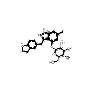 Cc1cc(O[C@@H]2O[C@H](CO)[C@@H](O)[C@H](O)[C@H]2O)c2c(Cc3ccc4c(c3)CCO4)n[nH]c2c1